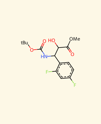 COC(=O)C(O)C(NC(=O)OC(C)(C)C)c1ccc(F)cc1F